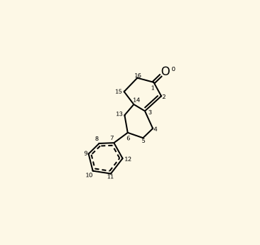 O=C1C=C2CCC(c3ccccc3)CC2CC1